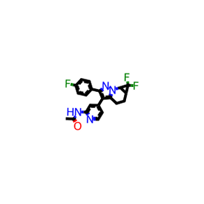 CC(=O)Nc1cc(-c2c(-c3ccc(F)cc3)nn3c2CCC2C3C2(F)F)ccn1